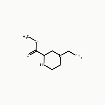 CCN1CCNC(C(=O)OC)C1